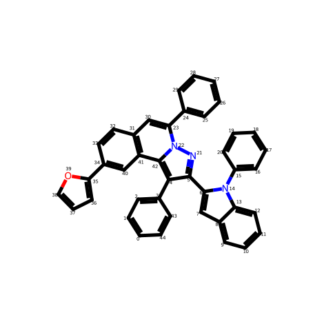 c1ccc(-c2c(-c3cc4ccccc4n3-c3ccccc3)nn3c(-c4ccccc4)cc4ccc(-c5ccco5)cc4c23)cc1